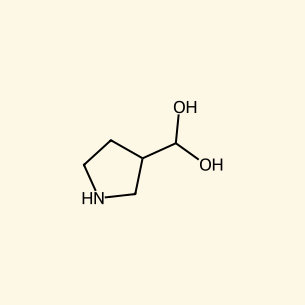 OC(O)C1CCNC1